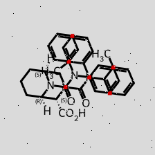 Cc1ccccc1N(C(=O)N1C[C@@H]2CCC[C@H]([C@H]1C(=O)O)N2C(=O)N(c1ccccc1)c1ccccc1)c1ccccc1C